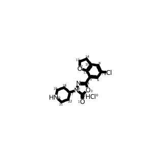 Cl.O=c1oc(-c2cc(Cl)cc3c2OCC3)nn1C1CCNCC1